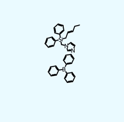 CCC=CC[Si](Cn1ccnc1)(c1ccccc1)c1ccccc1.c1ccc(B(c2ccccc2)c2ccccc2)cc1